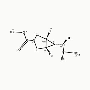 CCC([C@H](O)[C@@H]1[C@@H]2CN(C(=O)OC(C)(C)C)C[C@@H]21)[N+](=O)[O-]